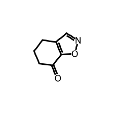 O=C1CCCc2cnoc21